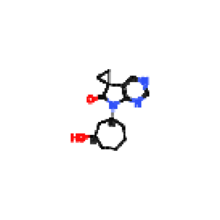 O=C1N([C@@H]2CCCC[C@@H](O)C2)c2ncncc2C12CC2